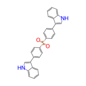 O=S(=O)(c1ccc(-c2c[nH]c3ccccc23)cc1)c1ccc(-c2c[nH]c3ccccc23)cc1